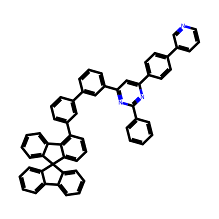 c1ccc(-c2nc(-c3ccc(-c4cccnc4)cc3)cc(-c3cccc(-c4cccc(-c5cccc6c5-c5ccccc5C65c6ccccc6-c6ccccc65)c4)c3)n2)cc1